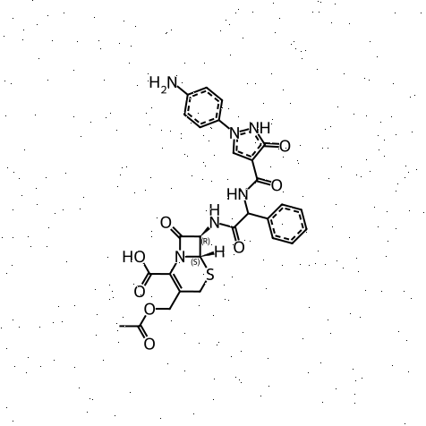 CC(=O)OCC1=C(C(=O)O)N2C(=O)[C@@H](NC(=O)C(NC(=O)c3cn(-c4ccc(N)cc4)[nH]c3=O)c3ccccc3)[C@@H]2SC1